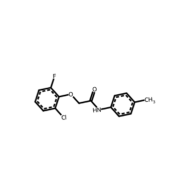 Cc1ccc(NC(=O)COc2c(F)cccc2Cl)cc1